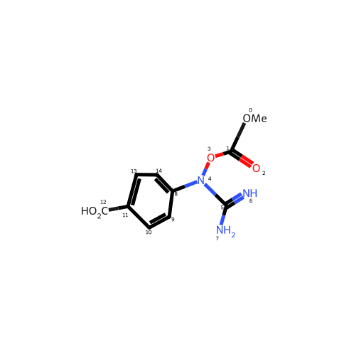 COC(=O)ON(C(=N)N)c1ccc(C(=O)O)cc1